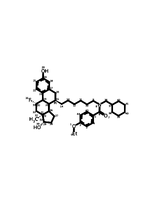 CCOc1ccc(C(=O)N(CCCCCC[C@@H]2Cc3cc(O)ccc3C3C2C2CC[C@H](O)[C@@]2(C)C[C@@H]3F)CC2CCCCC2)cc1